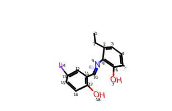 CCc1cccc(O)c1/N=C/c1cc(I)ccc1O